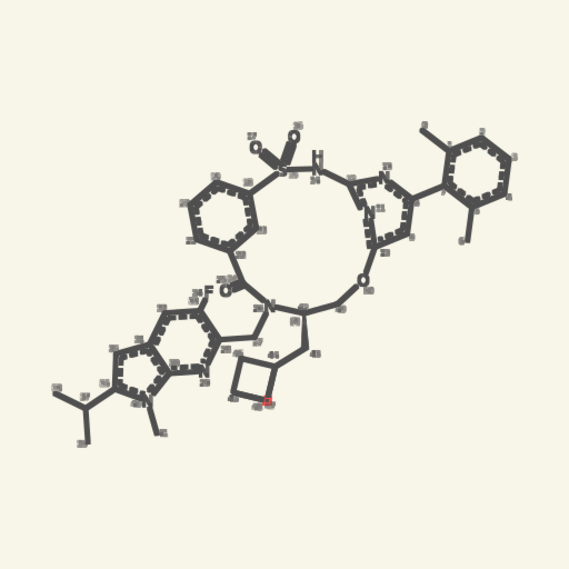 Cc1cccc(C)c1-c1cc2nc(n1)NS(=O)(=O)c1cccc(c1)C(=O)N(Cc1nc3c(cc1F)cc(C(C)C)n3C)[C@H](CC13CC(C1)C3)CO2